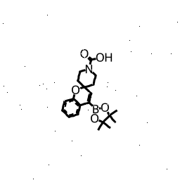 CC1(C)OB(C2=CC3(CCN(C(=O)O)CC3)Oc3ccccc32)OC1(C)C